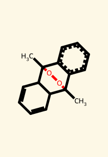 CC12OOC(C)(c3ccccc31)C1C=CC=CC12